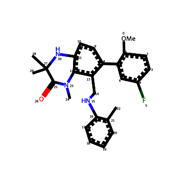 COc1ccc(F)cc1-c1ccc2c(c1CNc1ccccc1C)N(C)C(=O)C(C)(C)N2